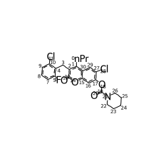 CCCc1c(Cc2c(F)cccc2Cl)c(=O)oc2cc(OC(=O)N3CCCCC3)c(Cl)cc12